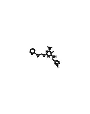 Cc1c(NCc2cnn(C)c2)nc(OCC2CC2c2ccccn2)nc1N(C)C